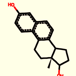 C[C@]12CCc3c(ccc4cc(O)ccc34)C1CCC2O